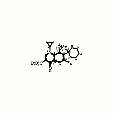 CCOC(=O)c1cn(C2CC2)c2c(OC)c(C3(C(=O)O)CCCCC3)c(F)cc2c1=O